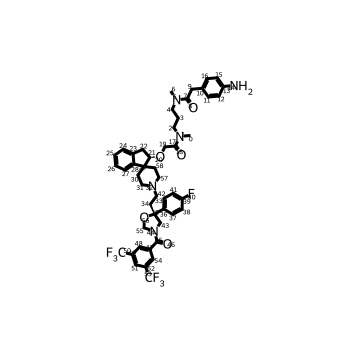 CN(CCCN(C)C(=O)Cc1ccc(N)cc1)C(=O)CO[C@H]1Cc2ccccc2C12CCN(CC[C@@]1(c3ccc(F)cc3)CN(C(=O)c3cc(C(F)(F)F)cc(C(F)(F)F)c3)CO1)CC2